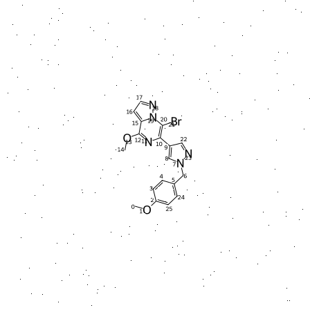 COc1ccc(Cn2cc(-c3nc(OC)c4ccnn4c3Br)cn2)cc1